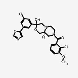 COc1cccc(C(=O)N2CCN3C[C@@](O)(c4cc(Cl)cc(-c5cnco5)c4)OC[C@@H]3C2)c1Cl